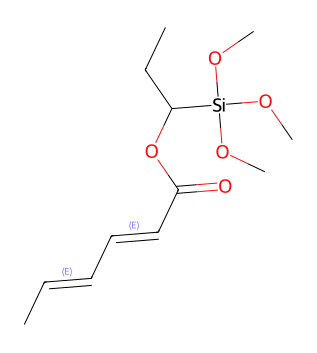 C/C=C/C=C/C(=O)OC(CC)[Si](OC)(OC)OC